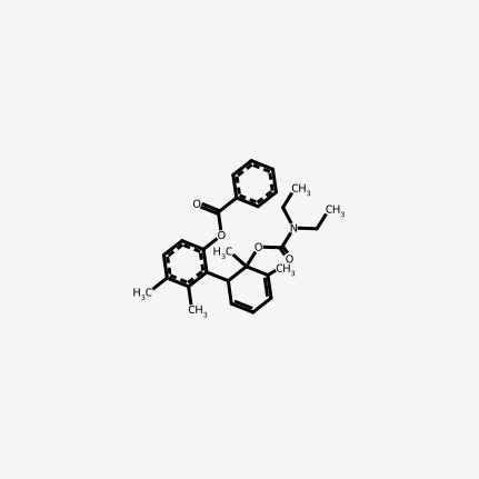 CCN(CC)C(=O)OC1(C)C(C)=CC=CC1c1c(OC(=O)c2ccccc2)ccc(C)c1C